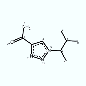 CC(C)C(C)n1cc(C(N)=O)nn1